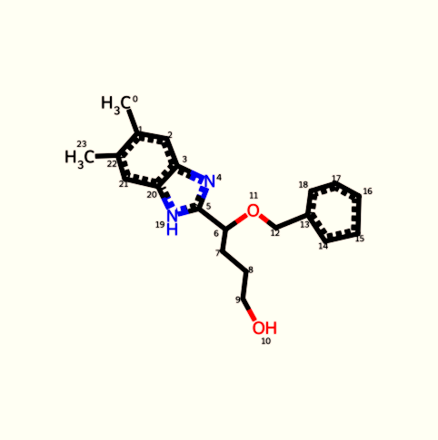 Cc1cc2nc(C(CCCO)OCc3ccccc3)[nH]c2cc1C